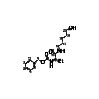 [CH2]C[C@H](NC(=O)OCc1ccccc1)C(=O)NCCCCCO